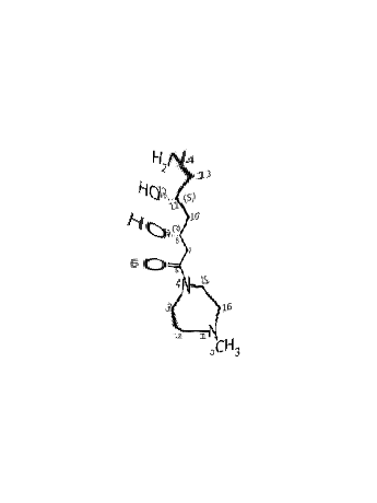 CN1CCN(C(=O)C[C@H](O)C[C@H](O)CN)CC1